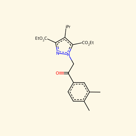 CCOC(=O)c1nn(CC(=O)c2ccc(C)c(C)c2)c(C(=O)OCC)c1C(C)C